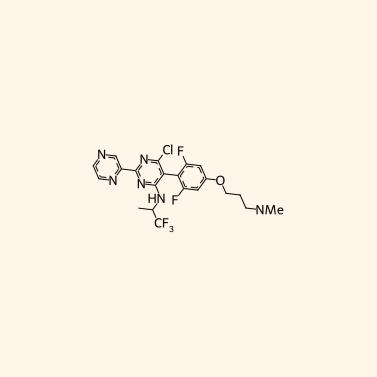 CNCCCOc1cc(F)c(-c2c(Cl)nc(-c3cnccn3)nc2NC(C)C(F)(F)F)c(F)c1